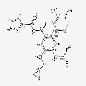 C=C/C(Cl)=C(C[C@H](OC(=O)c1cccs1)c1ccc(OC(F)F)c(OCC2CC2)c1)\C(Cl)=C/C